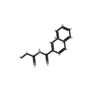 CCC(=O)OC(=O)c1ccc2ccccc2c1